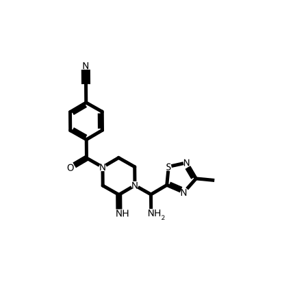 Cc1nsc(C(N)N2CCN(C(=O)c3ccc(C#N)cc3)CC2=N)n1